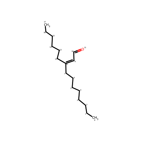 CCCCCCCCC(=CC=O)CCCCCC